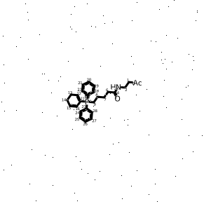 CC(=O)CCNC(=O)CCCC[PH](C1=CCCC=C1)(c1ccccc1)c1ccccc1